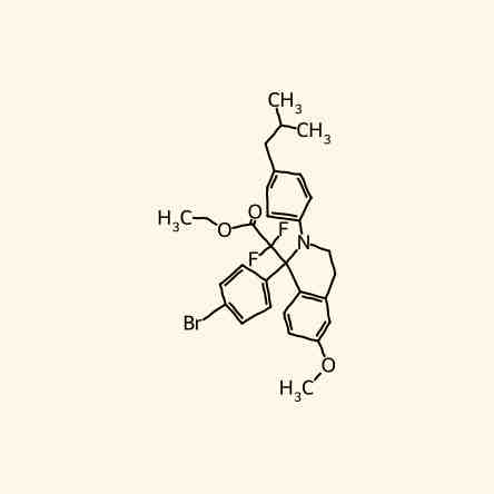 CCOC(=O)C(F)(F)C1(c2ccc(Br)cc2)c2ccc(OC)cc2CCN1c1ccc(CC(C)C)cc1